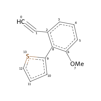 C#Cc1cccc(OC)c1-c1cccs1